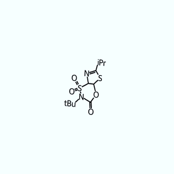 CC(C)C1=NC2C(OC(=O)N(C(C)(C)C)S2(=O)=O)S1